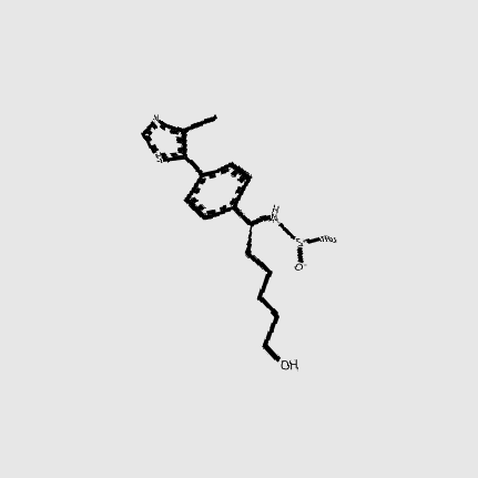 Cc1ncsc1-c1ccc([C@H](CCCCCO)N[S+]([O-])C(C)(C)C)cc1